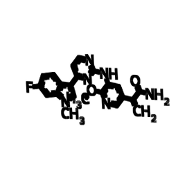 C=C(C(N)=O)c1cnc(OC)c(Nc2nccc(-c3cn(C)c4cc(F)ccc34)n2)c1